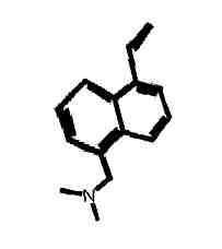 C=Cc1cccc2c(CN(C)C)cccc12